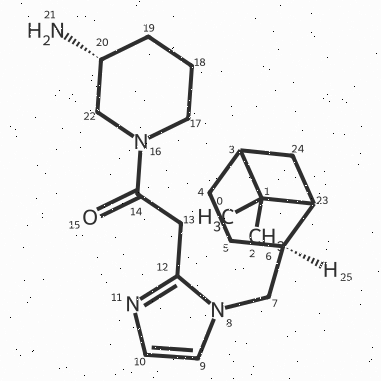 CC1(C)C2CC[C@H](Cn3ccnc3CC(=O)N3CCC[C@@H](N)C3)C1C2